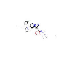 CCOC(=O)C1CCCC(NC(=O)c2cnn3ccc(N4CCC[C@@H]4c4cc(F)ccc4OC)cc23)C1